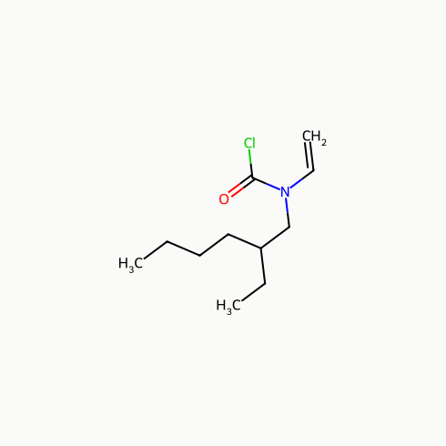 C=CN(CC(CC)CCCC)C(=O)Cl